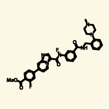 COC(=O)c1ccc(-c2ccn3c(C(=O)N(F)c4cccc(C(=O)NCc5ccccc5N5CCN(C)CC5)c4)cnc3c2)cc1F